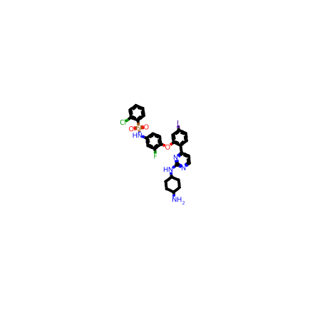 NC1CCC(Nc2nccc(-c3ccc(I)cc3Oc3ccc(NS(=O)(=O)c4ccccc4Cl)cc3F)n2)CC1